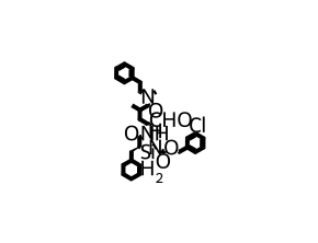 CC(C[C@@H](C=O)NC(=O)[C@H](CC1CCCCC1)[SiH2]NC(=O)OCc1cccc(Cl)c1)C(=O)N(C)CCc1ccccc1